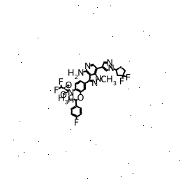 CC(Oc1cc(-c2nn(C)c3c(-c4cnn(C5CCC(F)(F)C5)c4)cnc(N)c23)ccc1NS(=O)(=O)C(F)F)c1ccc(F)cc1